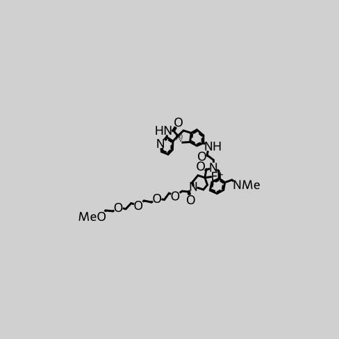 CCC1(C(=O)N(CC(=O)Nc2ccc3c(c2)C[C@@]2(C3)C(=O)Nc3ncccc32)Cc2ccccc2CNC)CCN(C(=O)COCCOCCOCCOCCOC)CC1